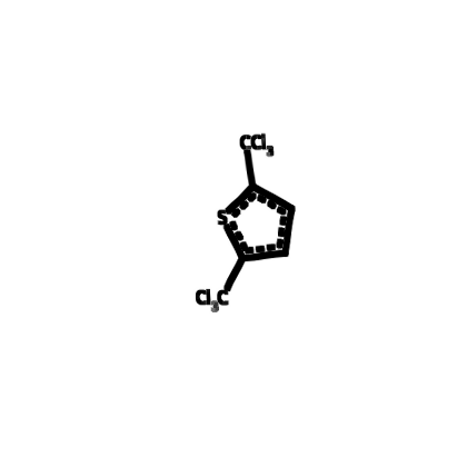 ClC(Cl)(Cl)c1ccc(C(Cl)(Cl)Cl)s1